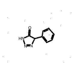 O=C1NN=NC1c1ccccc1